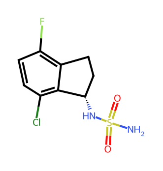 NS(=O)(=O)N[C@H]1CCc2c(F)ccc(Cl)c21